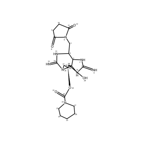 N=C1NC2C(CN3C(=O)CCC3=O)NC(=N)N3C[C@H](OC(=O)N4CCCCC4)C(O)C23N1